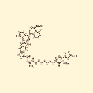 CNC(=O)c1c(F)cccc1Nc1nc(Nc2cc3c(cc2OC)CCN3C(=O)CN(C)C(=O)CCCCCCCC(=O)N[C@H](C(=O)N2CC[C@@H](O)C2)C(C)(C)C)nc2[nH]ccc12